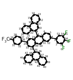 Fc1cc(-c2ccc3c(-c4cc5ccccc5c5ccccc45)c4cc(-c5ccc(C(F)(F)F)cc5)cc(-c5cc6ccccc6c6ccccc56)c4cc3c2)cc(F)c1F